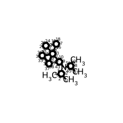 Cc1cc(C)cc(N(c2ccc(-c3cc(-c4ccccc4)c(-c4ccccc4)c4c5ccccc5c5ccccc5c34)cc2)c2cc(C)cc(C)c2)c1